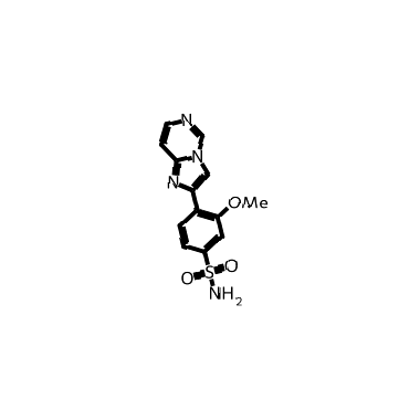 COc1cc(S(N)(=O)=O)ccc1-c1cn2cnccc2n1